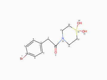 O=C(Cc1ccc(Br)cc1)N1CCS(O)(O)CC1